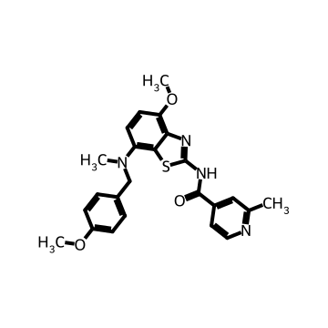 COc1ccc(CN(C)c2ccc(OC)c3nc(NC(=O)c4ccnc(C)c4)sc23)cc1